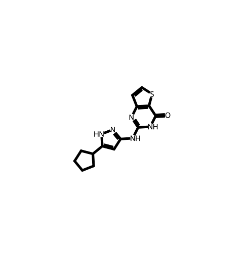 O=c1[nH]c(Nc2cc(C3CCCC3)[nH]n2)nc2ccsc12